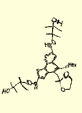 CCCCCCc1c(C2(C)OCCO2)c2cc(BOC(C)(C)C(C)(C)O)sc2c2sc(BOC(C)(C)C(C)(C)O)cc12